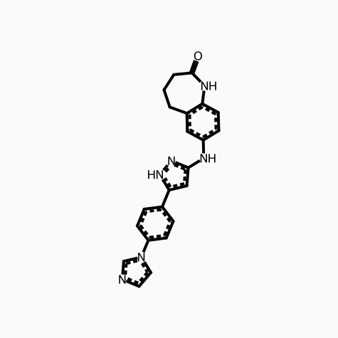 O=C1CCCc2cc(Nc3cc(-c4ccc(-n5ccnc5)cc4)[nH]n3)ccc2N1